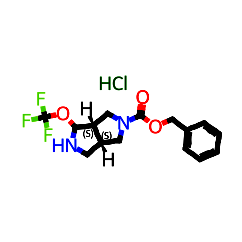 Cl.O=C(OCc1ccccc1)N1C[C@@H]2CNC(OC(F)(F)F)[C@@H]2C1